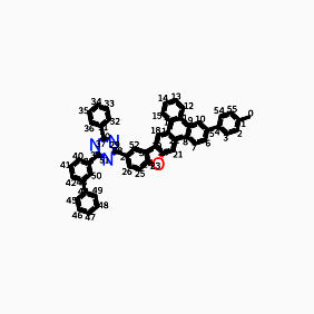 Cc1ccc(-c2ccc3c(c2)c2ccccc2c2cc4c(cc32)oc2ccc(-c3nc(-c5ccccc5)nc(-c5cccc(-c6ccccc6)c5)n3)cc24)cc1